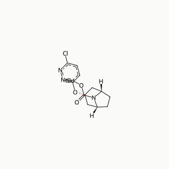 CC(C)(C)OC(=O)N1[C@@H]2CC[C@H]1C[C@@H](Oc1ccc(Cl)nn1)C2